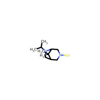 CC(C)N1CC2CN(S)CC1C2(C)C